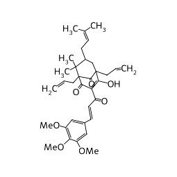 C=CCC12CC(CC=C(C)C)C(C)(C)C(CC=C)(C(=O)C(C(=O)/C=C/c3cc(OC)c(OC)c(OC)c3)=C1O)C2=O